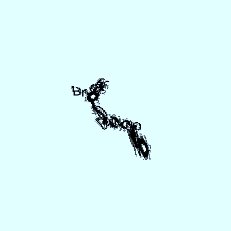 O=C(OCc1ccc(OC(F)(F)F)c(Br)c1)N1CCN(C2CCN(C(=O)n3nnc4ccccc43)CC2)CC1